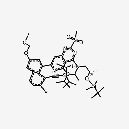 COCOc1cc(-c2cc3nc(S(C)(=O)=O)nc(NC[C@H](C)O[Si](C)(C)C(C)(C)C)c3c(OC(C)C)n2)c2c(C#C[Si](C(C)C)(C(C)C)C(C)C)c(F)ccc2c1